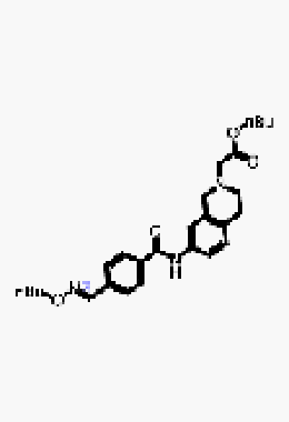 CCCCO/N=C/c1ccc(C(=O)Nc2ccc3c(c2)CN(CC(=O)OCCCC)CC3)cc1